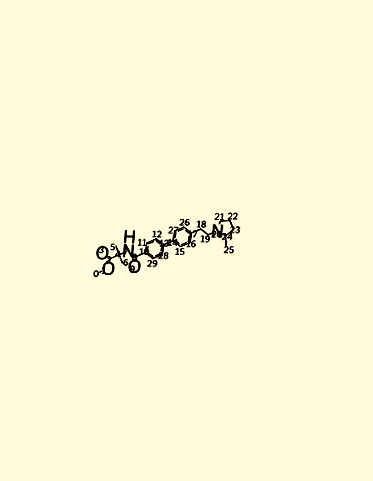 COC(=O)C(C)(C)NC(=O)c1ccc(-c2ccc(CCN3CCC[C@H]3C)cc2)cc1